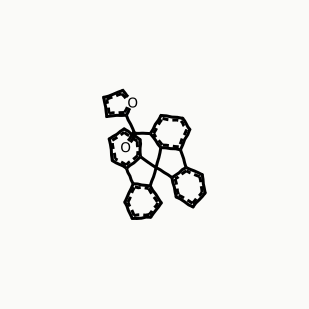 O=C(c1ccco1)c1cccc2c1C1(c3ccccc3-c3ccccc31)c1ccccc1-2